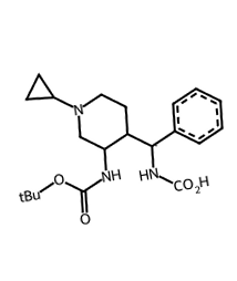 CC(C)(C)OC(=O)NC1CN(C2CC2)CCC1[C](NC(=O)O)c1ccccc1